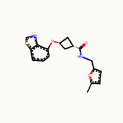 Cc1ccc(CNC(=O)[C@H]2C[C@H](Oc3cccc4scnc34)C2)o1